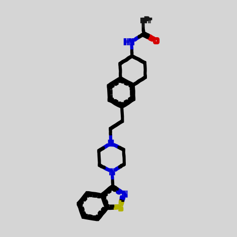 CCCC(=O)NC1CCc2cc(CCN3CCN(c4nsc5ccccc45)CC3)ccc2C1